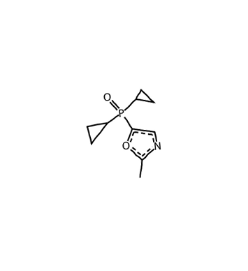 Cc1ncc(P(=O)(C2CC2)C2CC2)o1